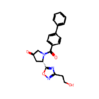 O=C1C[C@@H](c2nc(CCO)no2)N(C(=O)c2ccc(-c3ccccc3)cc2)C1